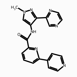 Cn1cc(NC(=O)c2cccc(-c3ccncc3)n2)c(-c2cnccn2)n1